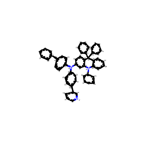 c1ccc(-c2ccc(N(c3ccc(-c4cccnc4)cc3)c3ccc4c(c3)N(c3ccccc3)c3ccccc3C4(c3ccccc3)c3ccccc3)cc2)cc1